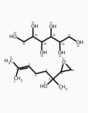 CC(C)=CCCC(C)(O)C1CO1.OCC(O)C(O)C(O)C(O)CO